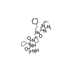 C=Nc1nc(C(=O)N(CCc2ccccc2)C[C@@H]2CCCN2C(=O)[C@@H](NC(=O)[C@H](C)NC)C2CCCC2)cn1/C=C\C